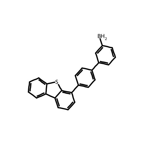 Bc1cccc(-c2ccc(-c3cccc4c3sc3ccccc34)cc2)c1